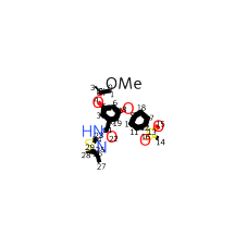 COC[C@H](C)Oc1cc(Oc2ccc(S(C)(=O)=O)cc2)cc(C(=O)Nc2nc(C)cs2)c1